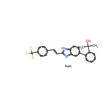 CC(C)(O)c1ccccc1-c1ccc2[nH]c(/C=C/c3ccc(C(F)(F)F)cc3)nc2c1.[NaH]